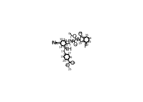 CCOC(C(=O)NCc1ccc(C#N)cc1NCc1ccc(C(=O)OC)cc1)N1Cc2c(F)cccc2C1=O